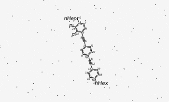 CCCCCCCc1ccc(C#Cc2ccc(C#Cc3ccc(CCCCCC)cc3)cc2)c(F)c1F